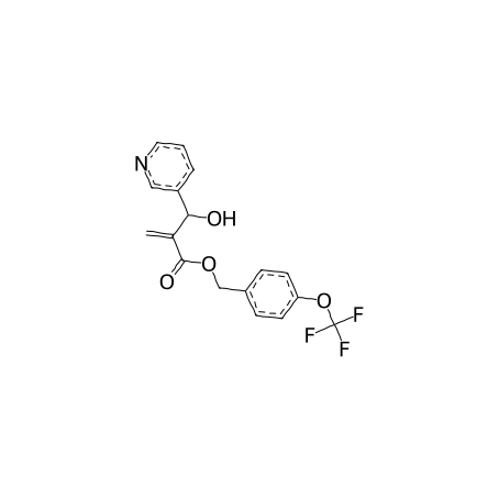 C=C(C(=O)OCc1ccc(OC(F)(F)F)cc1)C(O)c1cccnc1